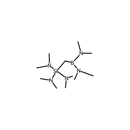 CN(C)B(C[Si](N(C)C)(N(C)C)N(C)C)N(C)C